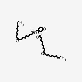 CCCCCCCCC1OC1CCCCCCCC(=O)OCC1(COC(=O)CCCCCCCC2OC2CCCCCCCC)CCC2OC2C1